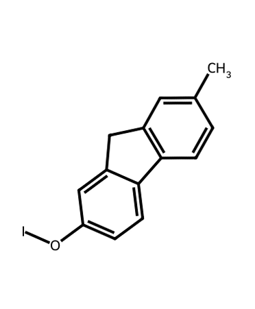 Cc1ccc2c(c1)Cc1cc(OI)ccc1-2